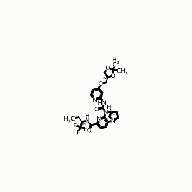 CC[C@@H](NC(=O)c1ccc2c(n1)N(C(=O)Nc1cc(OC[C@H]3COC(C)(C)O3)ccn1)[C@H]1CCN2C1)C(F)(F)F